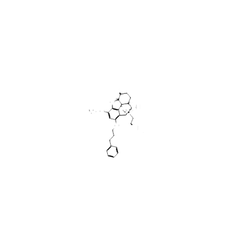 C=CCN1CC[C@]23c4c5c(OCCCc6ccccc6)cc(OC)c4O[C@H]2C(=O)CC[C@H]3[C@H]1C5